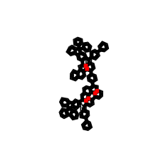 c1ccc(-c2ccc(N(c3ccc(-c4ccccc4)cc3)c3cc4c(cc3-c3ccc5c(ccc6c(-c7ccc(-c8ccc(N(c9ccc(-c%10ccccc%10)cc9)c9cc%10c(cc9-c9ccc%11ccc%12ccccc%12c%11c9)-c9ccccc9C%10(c9ccccc9)c9ccccc9)cc8)cc7)cccc65)c3)-c3ccccc3C4(c3ccccc3)c3ccccc3)cc2)cc1